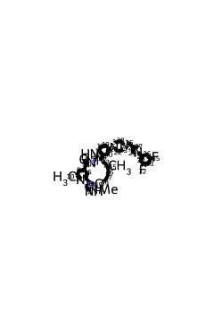 CN/C1=C(\C=N)c2cc(cc(C)n2)C(=O)/N=C2\Nc3ccc(N4CCN(CC5CN(c6cc(F)cc(F)c6)C5)CC4)cc3N2CC(C)CCCO1